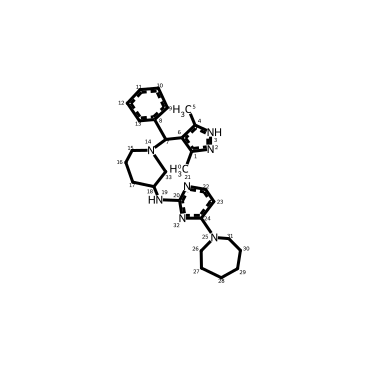 Cc1n[nH]c(C)c1C(c1ccccc1)N1CCCC(Nc2nccc(N3CCCCCC3)n2)C1